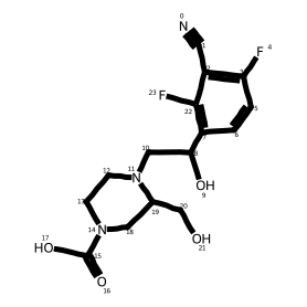 N#Cc1c(F)ccc(C(O)CN2CCN(C(=O)O)CC2CO)c1F